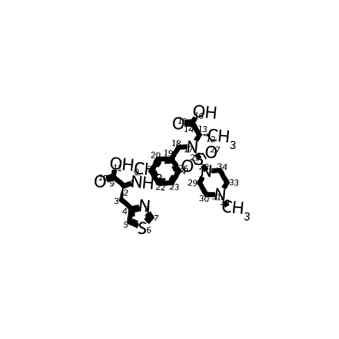 CN[C@@H](Cc1cscn1)C(=O)O.C[C@@H](C(=O)O)N(Cc1ccccc1)S(=O)(=O)N1CCN(C)CC1